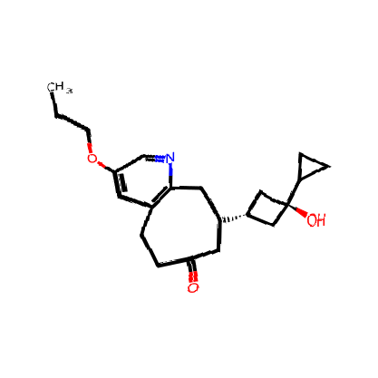 CCCOc1cnc2c(c1)CCC(=O)CC([C@H]1C[C@@](O)(C3CC3)C1)C2